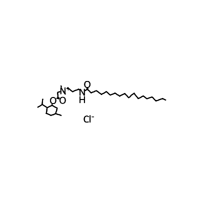 CCCCCCCCCCCCCCCCCC(=O)NCCC[N+](C)(C)CC(=O)OC1CC(C)CCC1C(C)C.[Cl-]